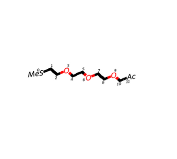 CSCCOCCOCCOCC(C)=O